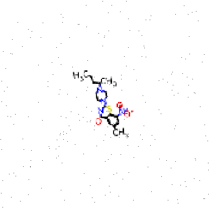 CCCC(C)N1CCN(c2nc(=O)c3cc(C)cc([N+](=O)[O-])c3s2)CC1